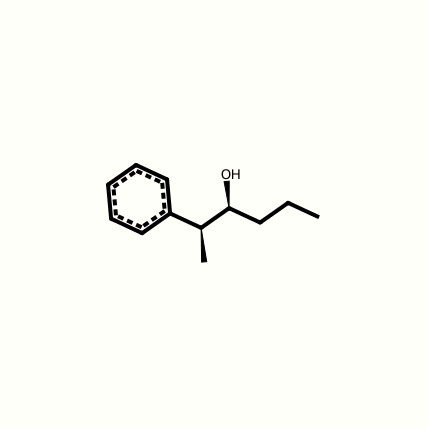 CCC[C@H](O)[C@@H](C)c1ccccc1